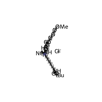 COCCOCCOCCOCCOC(=O)OC[n+]1ccc(N/C(=N\CCCCCCCCCCCCNC(=O)OC(C)(C)C)NC#N)cc1.[Cl-]